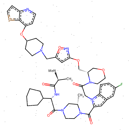 CN[C@@H](C)C(=O)N[C@H](C(=O)N1CCN(C(=O)c2cc3cc(F)ccc3n2CC(=O)N2CCOC[C@H]2COc2cc(CN3CCC(Oc4ccnc5ccsc45)CC3)on2)[C@@H](C)C1)C1CCCCC1